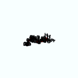 COC(=O)[C@H](CCC(=O)NCCOC(C)(OCCNC(=O)CCN1C(=O)C=CC1=O)C(C)(C)C)NC(=O)c1ccc(N(Cc2ccc3nc(NC(=O)C(C)C)[nH]c(=O)c3c2)C(=O)C(F)(F)F)cc1